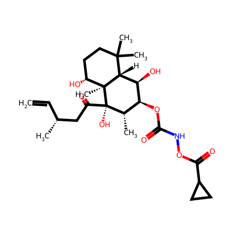 C=C[C@@H](C)CC(=O)[C@]1(O)[C@@H](C)[C@H](OC(=O)NOC(=O)C2CC2)[C@H](O)[C@H]2C(C)(C)CC[C@@H](O)[C@@]21C